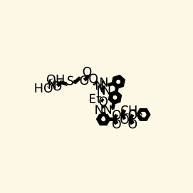 CCOc1nc2cccc(C(=O)OC(C)OC(=O)OC3CCCCC3)c2n1Cc1ccc(-c2ccccc2-c2nnn(COC(=O)OCCSCCON(O)O)n2)cc1